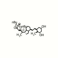 C=C1/C(=C\C=C2/CCC[C@@]3(C)C2CC[C@@H]3[C@H](C)/C=C/C(=O)P(=O)(OCCCC)OCCCC)C[C@@H](O)C[C@@H]1O